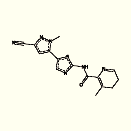 CC1=C(C(=O)Nc2ncc(-c3cc(C#N)nn3C)s2)N=CCC1